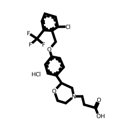 Cl.O=C(O)CCN1CCOC(c2ccc(OCc3c(Cl)cccc3C(F)(F)F)cc2)C1